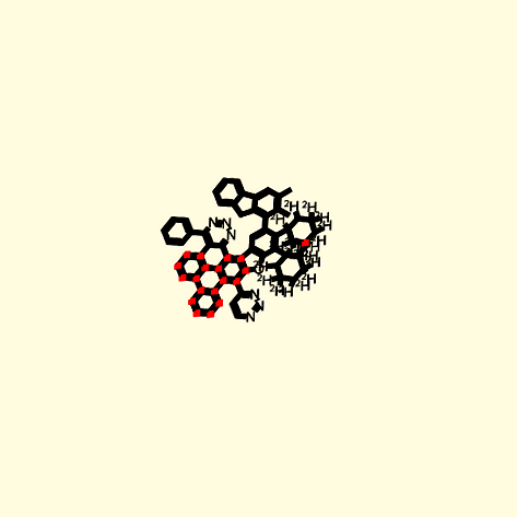 [2H]C1C([2H])([2H])C([2H])([2H])C([2H])([2H])C([2H])([2H])C1([2H])c1c(-c2c(C)c(C)cc3c2Cc2ccccc2-3)cc2c(oc3c(-c4ccnnn4)c(-c4ccccc4)c(-c4ccccc4-c4ccccc4-c4ccccc4)c(-c4nnnc(-c5ccccc5)c4-c4ccccc4-c4ccccc4)c32)c1C1([2H])C([2H])C([2H])([2H])C([2H])([2H])C([2H])([2H])C1([2H])[2H]